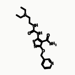 CCN(CC)CCNC(=O)Nc1snc(OCc2cccnc2)c1C(N)=O